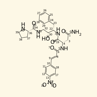 NC(=O)C[C@H](NC(=O)C=Cc1ccc([N+](=O)[O-])cc1)C(=O)N[C@@H](Cc1ccccc1)[C@H](O)CNC(=O)[C@@H]1CCCN1